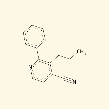 CCCc1c(C#N)ccnc1-c1ccccc1